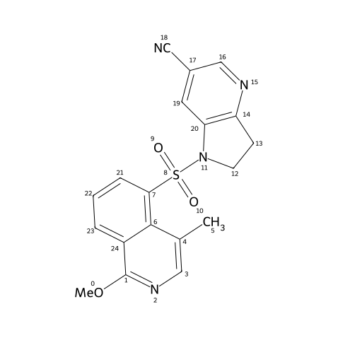 COc1ncc(C)c2c(S(=O)(=O)N3CCc4ncc(C#N)cc43)cccc12